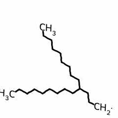 [CH2]CCC(CCCCCCCCC)CCCCCCCCC